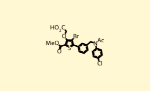 COC(=O)c1sc(-c2cccc(CN(C(C)=O)c3ccc(Cl)cc3)c2)c(Br)c1OCC(=O)O